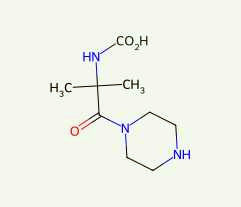 CC(C)(NC(=O)O)C(=O)N1CCNCC1